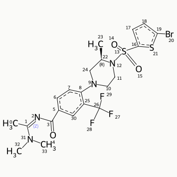 C/C(=N/C(=O)c1ccc(N2CCN(S(=O)(=O)c3ccc(Br)s3)[C@H](C)C2)c(C(F)(F)F)c1)N(C)C